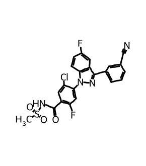 CS(=O)(=O)NC(=O)c1cc(Cl)c(-n2nc(-c3cccc(C#N)c3)c3cc(F)ccc32)cc1F